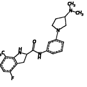 Cc1ccc(F)c2c1NC(C(=O)Nc1cccc(N3CCC(N(C)C)C3)c1)C2